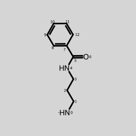 [NH]CCCNC(=O)c1ccccc1